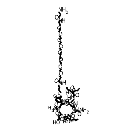 CCC[C@H](C)[C@]1(O)CN2C(=O)[C@H](CCC(N)=O)NC(=O)[C@@H](NC(=O)CNC(=O)[C@@H](NC(=O)CC)[C@@H](C)CC)C[S+]([O-])c3[nH]c4c(CSCCCCNC(=O)CCOCCOCCOCCOCCOCCOCCOCCOCCNC(=O)CCN)c(OC)ccc4c3C[C@@H](C(N)=O)NC(=O)[C@H]([C@@H](C)[C@@H](O)CO)NC(=O)[C@@H]2C1C